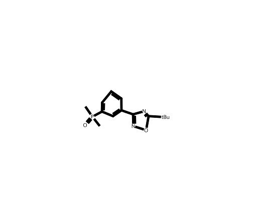 CC(C)(C)c1nc(-c2cccc(P(C)(C)=O)c2)no1